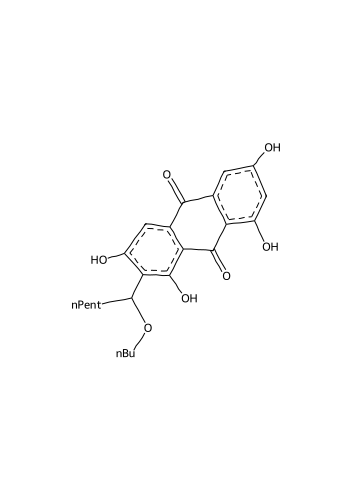 CCCCCC(OCCCC)c1c(O)cc2c(c1O)C(=O)c1c(O)cc(O)cc1C2=O